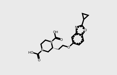 O=C(O)N1CCN(C(=O)O)[C@H](CCOc2ccc3oc(C4CC4)nc3c2)C1